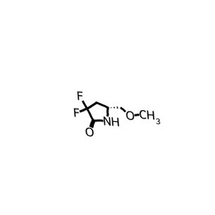 COC[C@H]1CC(F)(F)C(=O)N1